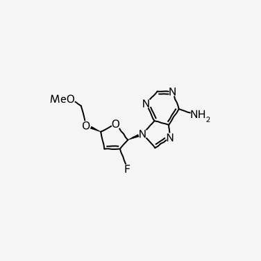 COCO[C@@H]1C=C(F)[C@H](n2cnc3c(N)ncnc32)O1